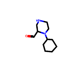 O=CC1CNCCN1C1CCCCC1